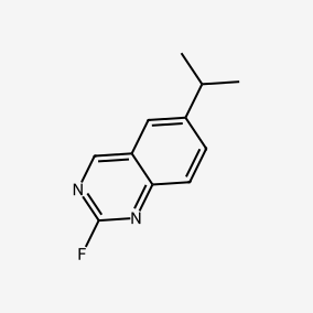 CC(C)c1ccc2nc(F)ncc2c1